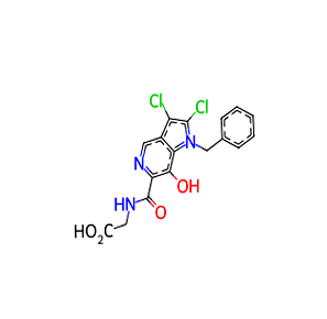 O=C(O)CNC(=O)c1ncc2c(Cl)c(Cl)n(Cc3ccccc3)c2c1O